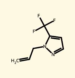 C=CCn1nccc1C(F)(F)F